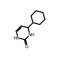 O=C1N[C]=CC(C2CCCCC2)N1